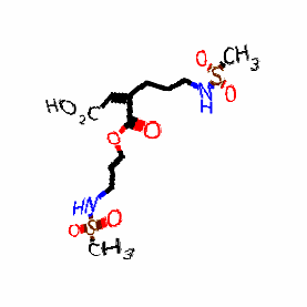 CS(=O)(=O)NCCCOC(=O)C(=CC(=O)O)CCCNS(C)(=O)=O